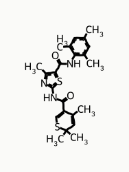 CC1=CC(C)(C)SC=C1C(=O)Nc1nc(C)c(C(=O)Nc2c(C)cc(C)cc2C)s1